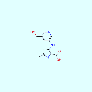 Cc1nc(C(=O)O)c(Nc2cncc(CO)c2)s1